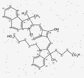 CC[N+]1=C(C=C2C(=O)C(C=C3N(CCCCS(=O)(=O)O)c4ccccc4C3(C)CCCC(=O)O)=C2O)C(C)(C)c2c1ccc1ccccc21